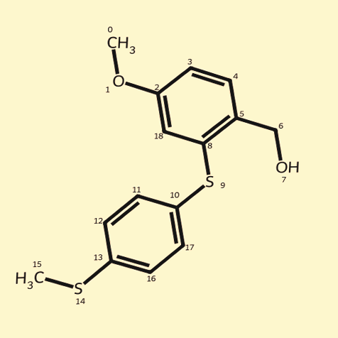 COc1ccc(CO)c(Sc2ccc(SC)cc2)c1